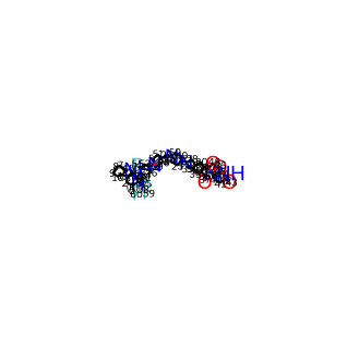 C[C@@H]1Cc2c([nH]c3ccccc23)[C@@H](c2c(F)cc(N3CCC(CN4CCC(N5Cc6cc7c(cc6C5)C(=O)N(C5CCC(=O)NC5=O)C7=O)CC4)CC3)cc2F)N1CC(F)F